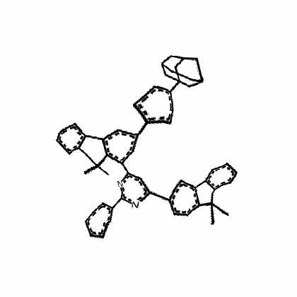 CC1(C)c2ccccc2-c2cc(-c3cc(-c4cc(-c5ccc(C67CC8CC(CC(C8)C6)C7)cc5)cc5c4C(C)(C)c4ccccc4-5)nc(-c4ccccc4)n3)ccc21